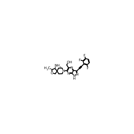 C[C@@H]1OCC2(CCN(c3nc4[nH]nc(C#Cc5c(F)ccc(F)c5F)c4nc3CO)CC2)[C@@H]1N